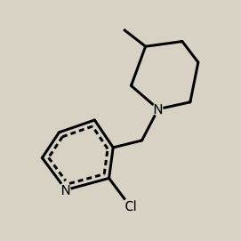 CC1CCCN(Cc2cccnc2Cl)C1